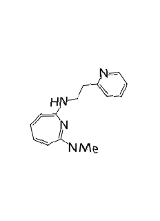 CNC1=NC(NCCc2ccccn2)=C=CC=C1